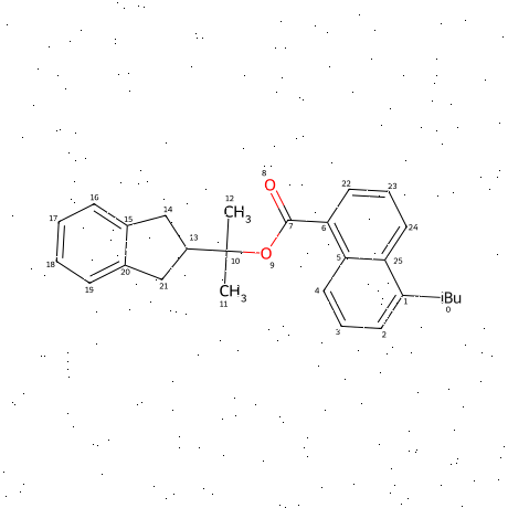 CCC(C)c1cccc2c(C(=O)OC(C)(C)C3Cc4ccccc4C3)cccc12